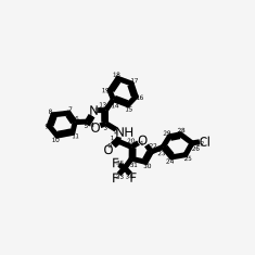 O=C(Nc1oc(-c2ccccc2)nc1-c1ccccc1)c1oc(C2=CCC(Cl)C=C2)cc1C(F)(F)F